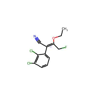 CCO/C(CF)=C(\C#N)c1cccc(Cl)c1Cl